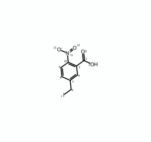 O=C(O)c1cc(CI)ccc1[N+](=O)[O-]